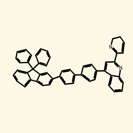 C1=CC(c2cc(-c3ccc(-c4ccc(-c5ccc6c(c5)C(c5ccccc5)(c5ccccc5)c5ccccc5-6)cc4)cc3)c3ccccc3n2)=NCC1